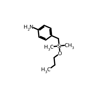 CCCO[Si](C)(C)Cc1ccc(N)cc1